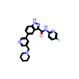 O=C(Nc1ccc(F)cn1)c1n[nH]c2ccc(-c3cncc(CN4CCCCC4)c3)cc12